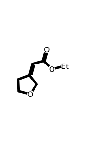 CCOC(=O)C=C1CCOC1